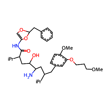 COCCCOc1cc(CC(CC(N)C(O)CC(C(=O)NC2=COC(Cc3ccccc3)O2)C(C)C)C(C)C)ccc1OC